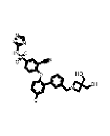 N#Cc1cc(S(=O)(=O)Nc2ncns2)ccc1Oc1ccc(Cl)cc1-c1cccc(CN2CC(CO)(CO)C2)c1